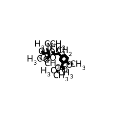 C=C(COC(C[N+](C)(C)C)(C(=O)OC)C(=O)OC)c1ccc(OC)c(C(=O)OC(C)(C)C)c1